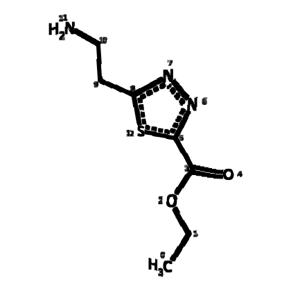 CCOC(=O)c1nnc(CCN)s1